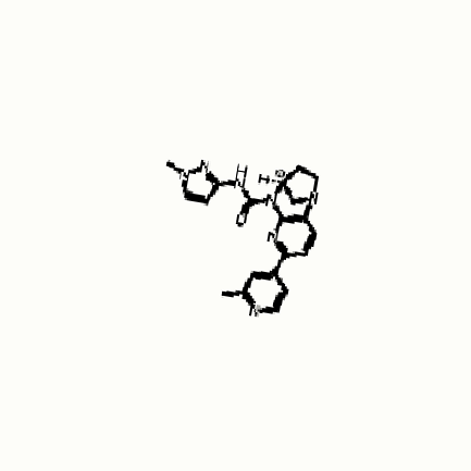 Cc1cc(-c2ccc3c(n2)N(C(=O)Nc2ccn(C)n2)[C@H]2CCN3C2)ccn1